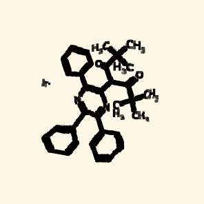 CC(C)(C)C(=O)C(C(=O)C(C)(C)C)c1nc(-c2ccccc2)c(-c2ccccc2)nc1-c1ccccc1.[Ir]